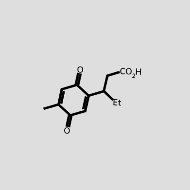 CCC(CC(=O)O)C1=CC(=O)C(C)=CC1=O